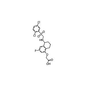 O=C(O)COc1cc(F)cc2c1CCCC2NCS(=O)(=O)c1cc(Cl)ccc1Cl